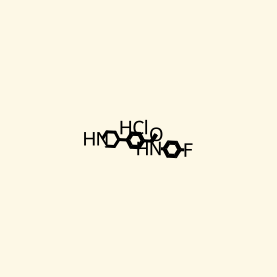 Cl.O=C(Nc1ccc(F)cc1)c1ccc(C2CCNCC2)cc1